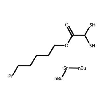 CC(C)CCCCCOC(=O)C(S)S.CCC[CH2][Sn][CH2]CCC